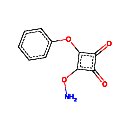 NOc1c(Oc2ccccc2)c(=O)c1=O